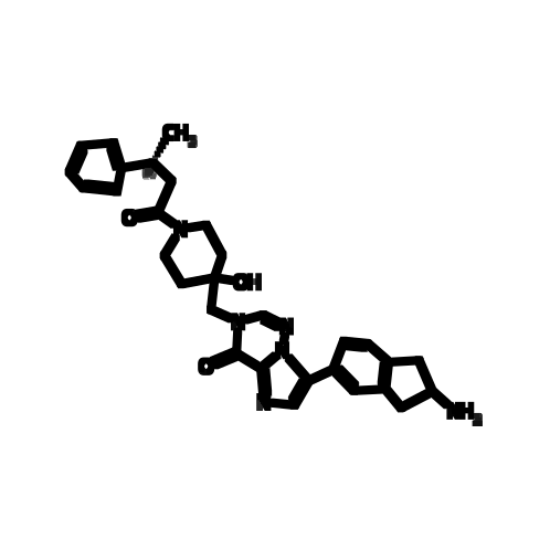 C[C@H](CC(=O)N1CCC(O)(Cn2cnn3c(-c4ccc5c(c4)CC(N)C5)cnc3c2=O)CC1)c1ccccc1